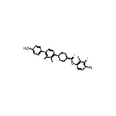 CCc1ccc(OC(=O)C2CCC(c3ccc(-c4ccc(C)cc4)c(F)c3F)CC2)c(F)c1F